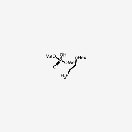 CCCCCCCCP.COP(=O)(O)OC